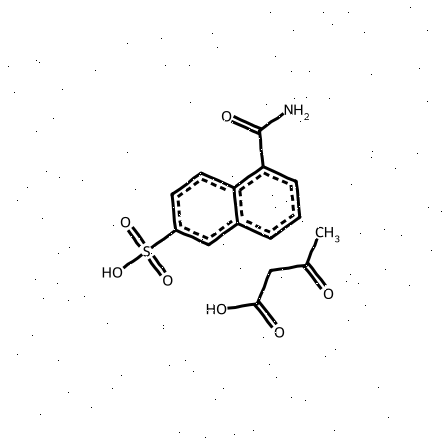 CC(=O)CC(=O)O.NC(=O)c1cccc2cc(S(=O)(=O)O)ccc12